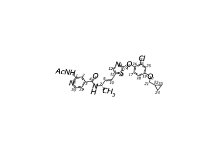 CC(=O)Nc1cc(C(=O)N[C@@H](C)/C=C/c2cnc(Oc3ccc(OCC4CC4)cc3Cl)s2)ccn1